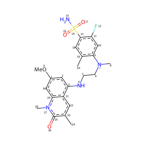 COc1cc(NCCN(C)c2cc(F)c(S(N)(=O)=O)cc2C)c2cc(C)c(=O)n(C)c2c1